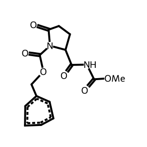 COC(=O)NC(=O)C1CCC(=O)N1C(=O)OCc1ccccc1